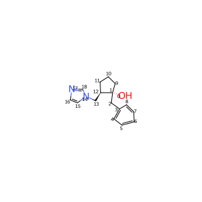 O[C@@]1(Cc2ccccc2)CCC[C@@H]1Cn1ccnc1